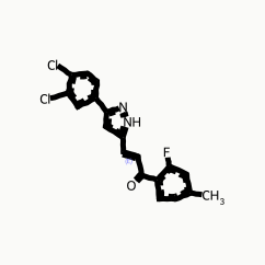 Cc1ccc(C(=O)/C=C/c2cc(-c3ccc(Cl)c(Cl)c3)n[nH]2)c(F)c1